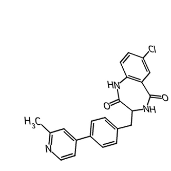 Cc1cc(-c2ccc(CC3NC(=O)c4cc(Cl)ccc4NC3=O)cc2)ccn1